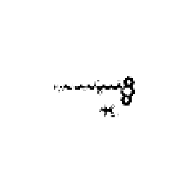 NCCOCCOCCNC(=O)CCCCC(=O)N1Cc2ccccc2C#Cc2ccccc21.O=C(O)C(F)(F)F